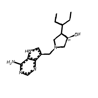 CCC(CC)C1CN(Cc2c[nH]c3c(N)ncnc23)C[C@@H]1O